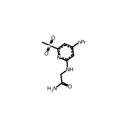 CCCc1cc(NCC(N)=O)nc(S(C)(=O)=O)c1